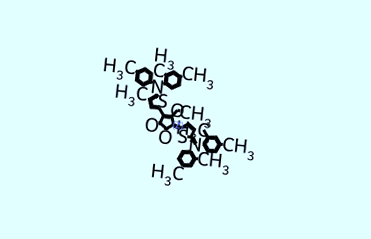 COC1=C(c2ccc(N(c3ccc(C)cc3C)c3ccc(C)cc3C)s2)C(=O)C(=O)/C1=C1/C=CC(=[N+](c2ccc(C)cc2C)c2ccc(C)cc2C)S1